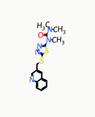 CN(C)C(=O)N(C)c1nnc(SCc2cnc3ccccc3c2)s1